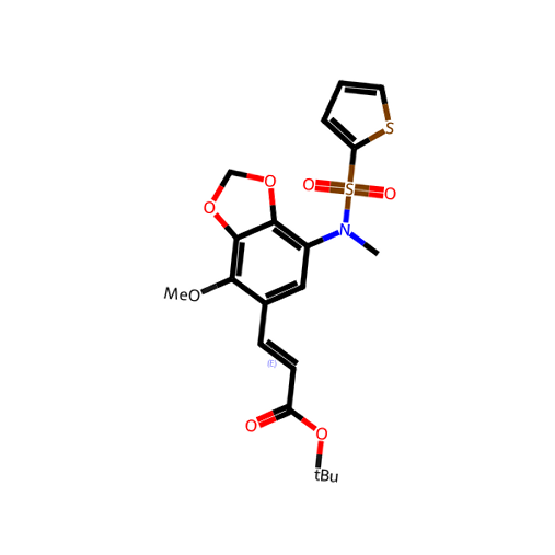 COc1c(/C=C/C(=O)OC(C)(C)C)cc(N(C)S(=O)(=O)c2cccs2)c2c1OCO2